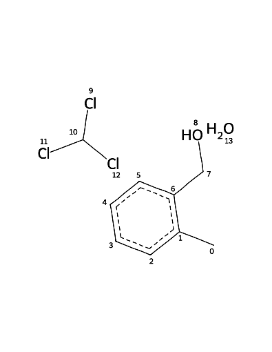 Cc1ccccc1CO.ClC(Cl)Cl.O